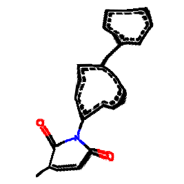 CC1=CC(=O)N(c2ccc(-c3ccccc3)cc2)C1=O